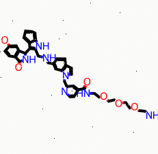 NCCOCCOCCOCCNC(=O)c1ccnc(Cn2ccc3ccc(CNCc4[nH]c5ccccc5c4C4NC(=O)c5ccc(O)cc54)cc32)c1